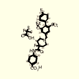 CCOc1cc(CN2CCC(F)(C(=O)Nc3ccc(C(=O)O)cc3)CC2)cc(OCC)c1-c1ccc(F)cc1.O=C(O)C(F)(F)F